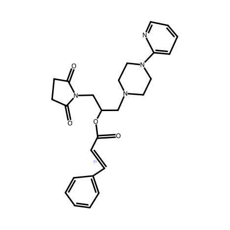 O=C(/C=C/c1ccccc1)OC(CN1CCN(c2ccccn2)CC1)CN1C(=O)CCC1=O